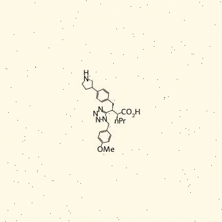 CCC[C@H](C(=O)O)[C@H](Cc1ccc(C2CCNC2)cc1)c1nnnn1Cc1ccc(OC)cc1